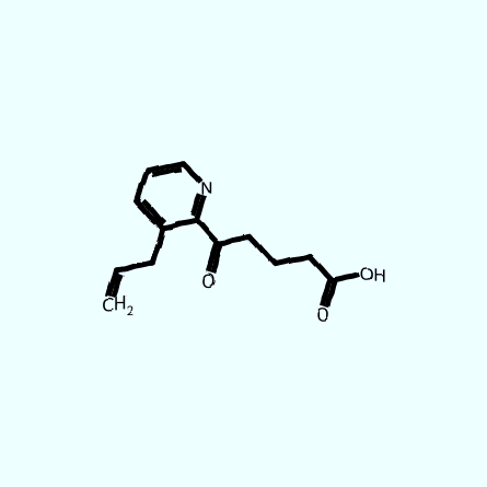 C=CCc1cccnc1C(=O)CCCC(=O)O